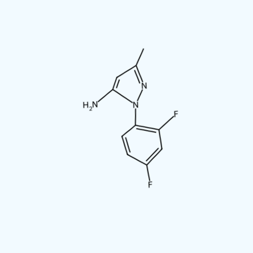 Cc1cc(N)n(-c2ccc(F)cc2F)n1